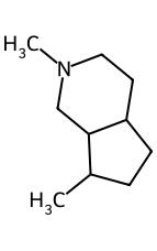 CC1CCC2CCN(C)CC12